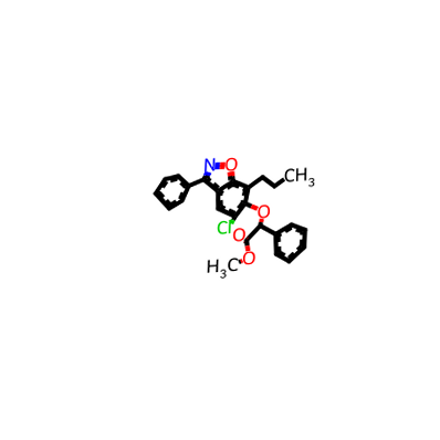 CCCc1c(OC(C(=O)OC)c2ccccc2)c(Cl)cc2c(-c3ccccc3)noc12